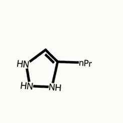 CCCC1=CNNN1